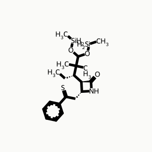 CC[C@@H]([C@H]1C(=O)N[C@@H]1CC(=S)c1ccccc1)C(C)(C)C(O[SiH2]C)O[SiH2]C